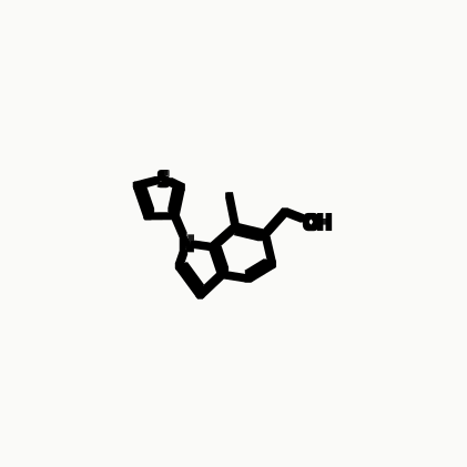 Cc1c(CO)ccc2ccn(-c3ccsc3)c12